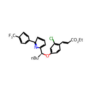 CCCC[C@H](Oc1ccc(/C=C/C(=O)OCC)c(Cl)c1)c1cccc(-c2ccc(C(F)(F)F)cc2)n1